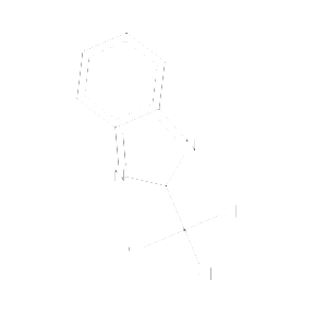 ClC(Cl)(Cl)C1N=c2ccccc2=N1